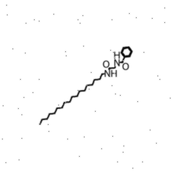 CCCCCCCCCCCCCCCCCCNC(=O)CNC(=O)c1ccccc1